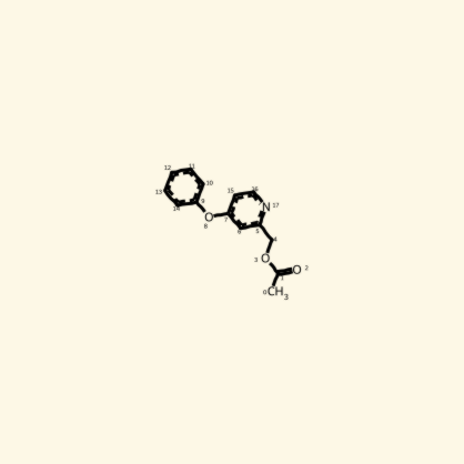 CC(=O)OCc1cc(Oc2ccccc2)ccn1